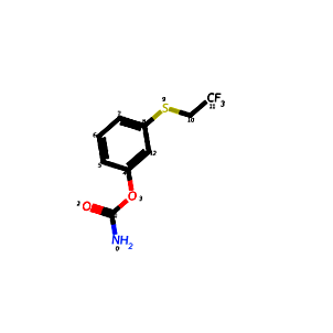 NC(=O)Oc1cccc(SCC(F)(F)F)c1